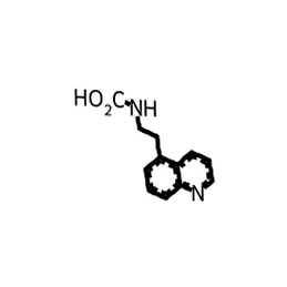 O=C(O)NCCc1cccc2ncccc12